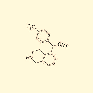 COC(c1ccc(C(F)(F)F)cc1)c1cccc2c1CCNC2